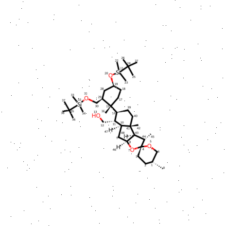 C[C@@H]1CC[C@@]2(OC1)O[C@H]1C[C@H]3[C@H](CO)[C@@H]([C@@]4(C)CC[C@H](O[Si](C)(C)C(C)(C)C)C[C@@H]4CO[Si](C)(C)C(C)(C)C)CC[C@]3(C)[C@H]1[C@@H]2C